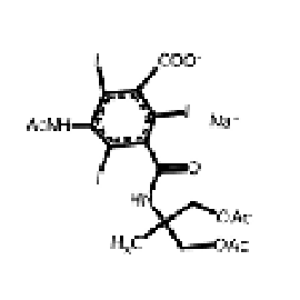 CC(=O)Nc1c(I)c(C(=O)[O-])c(I)c(C(=O)NC(C)(COC(C)=O)COC(C)=O)c1I.[Na+]